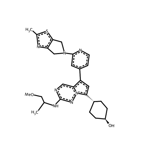 COCC(C)Nc1ncc2c(-c3ccnc(N4Cc5nc(C)sc5C4)c3)cc([C@H]3CC[C@H](O)CC3)n2n1